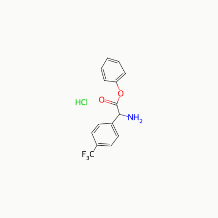 Cl.NC(C(=O)Oc1ccccc1)c1ccc(C(F)(F)F)cc1